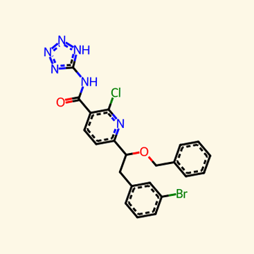 O=C(Nc1nnn[nH]1)c1ccc(C(Cc2cccc(Br)c2)OCc2ccccc2)nc1Cl